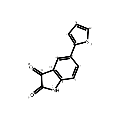 O=C1Nc2ccc(-c3cccs3)cc2C1=O